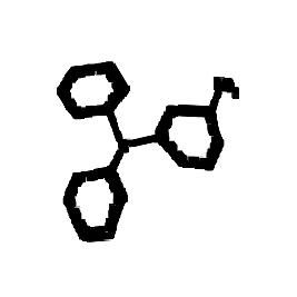 O=[N+]([O-])c1cccc([S+](c2ccccc2)c2ccccc2)c1